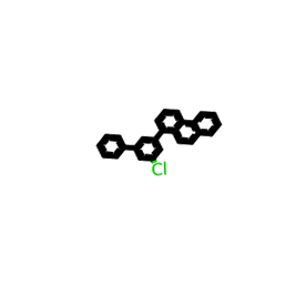 Clc1cc(-c2ccccc2)cc(-c2cccc3c2ccc2ccccc23)c1